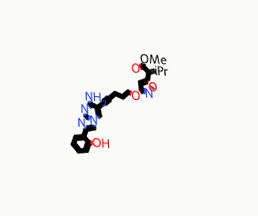 COC(=O)C(c1cc(OCCCC#Cc2cn3cc(-c4ccccc4O)nc3nc2N)no1)C(C)C